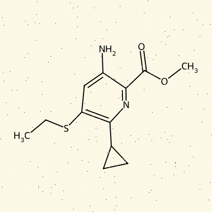 CCSc1cc(N)c(C(=O)OC)nc1C1CC1